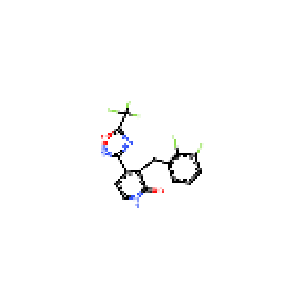 O=c1[nH]ccc(-c2noc(C(F)(F)F)n2)c1Cc1cccc(F)c1F